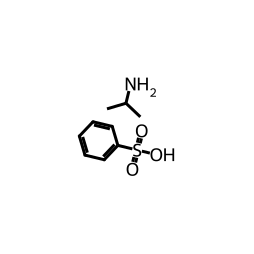 CC(C)N.O=S(=O)(O)c1ccccc1